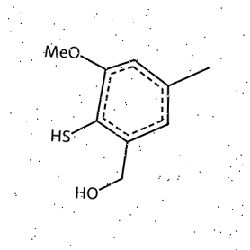 COc1cc(C)cc(CO)c1S